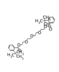 CC(C)(C)c1ccccc1C(=O)OCCOCCOCCOCCOC(=O)c1ccccc1C(C)(C)C